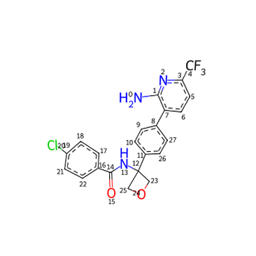 Nc1nc(C(F)(F)F)ccc1-c1ccc(C2(NC(=O)c3ccc(Cl)cc3)COC2)cc1